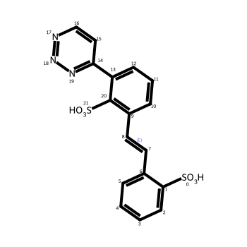 O=S(=O)(O)c1ccccc1/C=C/c1cccc(-c2ccnnn2)c1S(=O)(=O)O